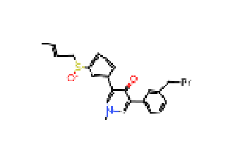 C/C=C/C[S+]([O-])c1cccc(-c2cn(C)cc(-c3cccc(CC(C)C)c3)c2=O)c1